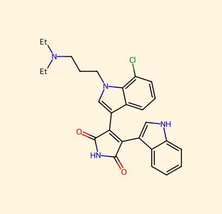 CCN(CC)CCCn1cc(C2=C(c3c[nH]c4ccccc34)C(=O)NC2=O)c2cccc(Cl)c21